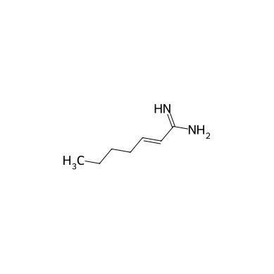 CCCC/C=C/C(=N)N